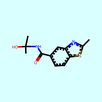 Cc1nc2cc(C(=O)NC(C)(C)O)ccc2s1